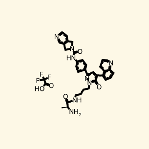 C[C@H](N)C(=O)NCCCCn1nc(-c2ccc(NC(=O)N3Cc4ccncc4C3)cc2)cc(-c2cccc3ncccc23)c1=O.O=C(O)C(F)(F)F